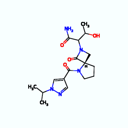 CC(O)C(C(N)=O)N1C[C@]2(CCCN2C(=O)c2cnn(C(C)C)c2)C1=O